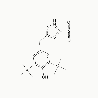 CC(C)(C)c1cc(Cc2c[nH]c(S(C)(=O)=O)c2)cc(C(C)(C)C)c1O